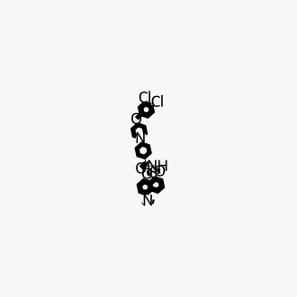 CN(C)c1cccc2c(S(=O)(=O)NC(=O)[C@H]3CC[C@H](N4CCC(Oc5ccc(Cl)c(Cl)c5)CC4)CC3)cccc12